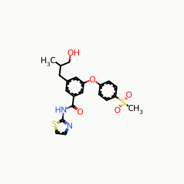 CC(CO)Cc1cc(Oc2ccc(S(C)(=O)=O)cc2)cc(C(=O)Nc2nccs2)c1